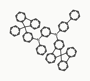 c1ccc(-c2ccc(N(c3cccc(N(c4ccccc4)c4cccc(C5(c6ccccc6)c6ccccc6-c6ccccc65)c4)c3)c3ccc4c(c3)-c3ccccc3C43c4ccccc4-c4ccccc43)cc2)cc1